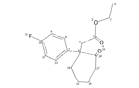 CCOC(=O)CC1(c2ccc(F)cc2)CCCCC1=O